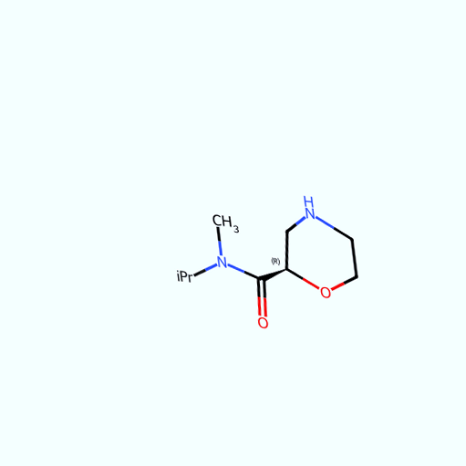 CC(C)N(C)C(=O)[C@H]1CNCCO1